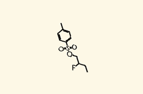 CCC(F)COS(=O)(=O)c1ccc(C)cc1